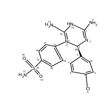 NC1=N[C@@H](c2ccc(Cl)cc2)[N+](c2ccc(S(N)(=O)=O)cc2)=C(N)N1